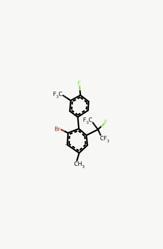 Cc1[c]c(Br)c(-c2ccc(F)c(C(F)(F)F)c2)c(C(F)(C(F)(F)F)C(F)(F)F)c1